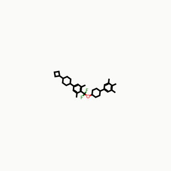 Cc1cc(C2CCC(OC(F)(F)c3c(C)cc(C4CCC(C5CCC5)CC4)cc3C)CC2)cc(C)c1C